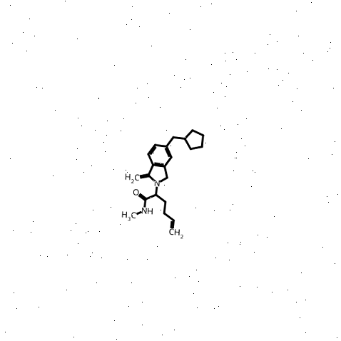 C=CCCC(C(=O)NC)N1Cc2cc(CC3CCCC3)ccc2C1=C